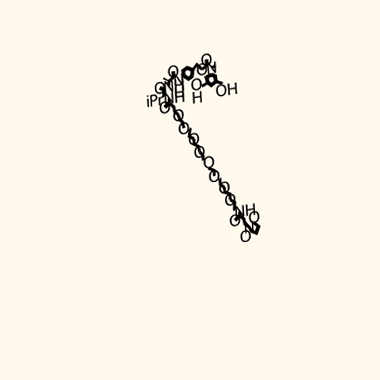 CC(C)[C@H](NC(=O)CCOCCOCCOCCOCCOCCOCCOCCOCCNC(=O)CCN1C(=O)C=CC1=O)C(=O)N[C@@H](C)C(=O)Nc1ccc(COC(=O)N(C)c2cc(CO)cc(CO)c2)cc1